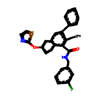 CC(C)c1c(-c2ccccc2)cc2cc(Oc3nccs3)ccc2c1C(=O)NCc1cccc(F)c1